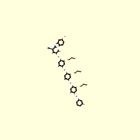 COc1ccc2c(nc3c(C#N)c(C)c(N=Nc4cc(C)c(N=Nc5cc(C)c(N=Nc6cc(C)c(N=Nc7cccc(Cl)c7)cc6SCCCS(=O)(=O)O)cc5SCCCS(=O)(=O)O)cc4OCCCS(=O)(=O)O)c(O)n32)c1S(=O)(=O)O